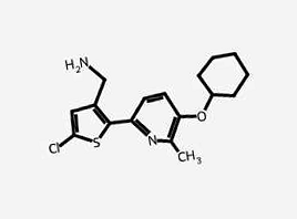 Cc1nc(-c2sc(Cl)cc2CN)ccc1OC1CCCCC1